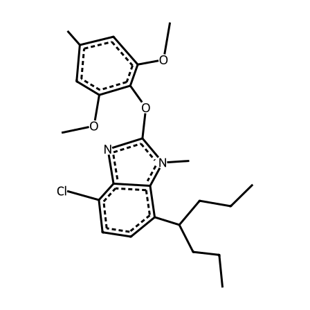 CCCC(CCC)c1ccc(Cl)c2nc(Oc3c(OC)cc(C)cc3OC)n(C)c12